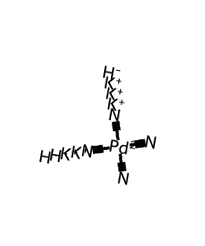 N#[C][Pd-2]([C]#N)([C]#N)[C]#N.[H-].[H-].[H-].[K+].[K+].[K+].[K+].[K+]